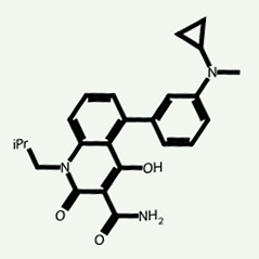 CC(C)Cn1c(=O)c(C(N)=O)c(O)c2c(-c3cccc(N(C)C4CC4)c3)cccc21